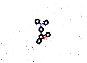 c1ccc(N(c2ccccc2)c2ccc(-c3cc4ccccc4c4oc5ccccc5c34)cc2)cc1